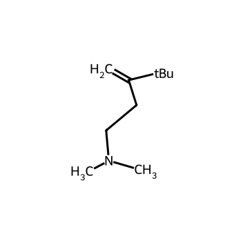 C=C(CCN(C)C)C(C)(C)C